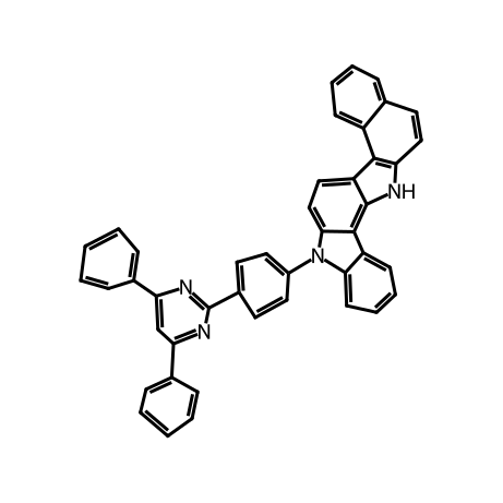 c1ccc(-c2cc(-c3ccccc3)nc(-c3ccc(-n4c5ccccc5c5c6[nH]c7ccc8ccccc8c7c6ccc54)cc3)n2)cc1